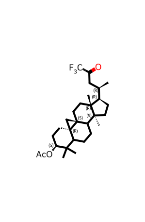 CC(=O)O[C@H]1CC[C@]23C[C@]24CC[C@]2(C)[C@@H]([C@H](C)CC(=O)C(F)(F)F)CC[C@@]2(C)C4CCC3C1(C)C